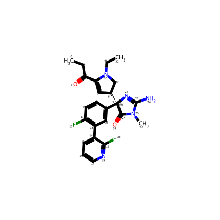 CCC(=O)C1=CC([C@]2(c3ccc(F)c(-c4cccnc4F)c3)N=C(N)N(C)C2=O)CN1CC